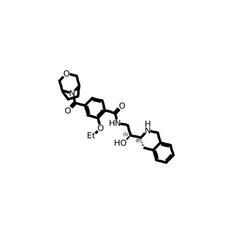 CCOc1cc(C(=O)N2C3CCC2COC3)ccc1C(=O)NC[C@H](O)[C@H]1Cc2ccccc2CN1